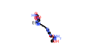 CCC(Nc1cccc2c1C(=O)N(C1CCC(=O)NC1=O)C2=O)c1cn(CCCCCCCCCN2CCN(c3ccc(N4CCC[C@H](Oc5cc(-c6ccccc6O)nnc5N)C4)cc3)CC2)nn1